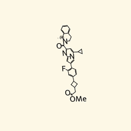 COC(=O)CC1CC(c2ccc(-c3cc4nc(C(=O)N5CCc6ccccc6[C@H]5C)cc(C5CC5)n4c3)c(F)c2)C1